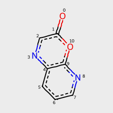 O=c1cnc2c[c]cnc2o1